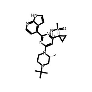 C[C@@H]1CN(C(C)(C)C)CCN1c1cc(C2([SH](C)(N)=O)CC2)nc(-c2ccnc3[nH]ccc23)n1